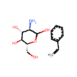 C=Cc1ccccc1.N[C@H]1C(O)O[C@H](CO)[C@@H](O)[C@@H]1O